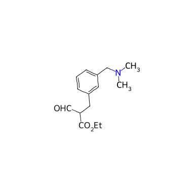 CCOC(=O)C(C=O)Cc1cccc(CN(C)C)c1